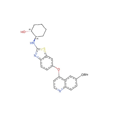 COc1ccc2nccc(Oc3ccc4nc(N[C@@H]5CCCC[C@H]5O)sc4c3)c2c1